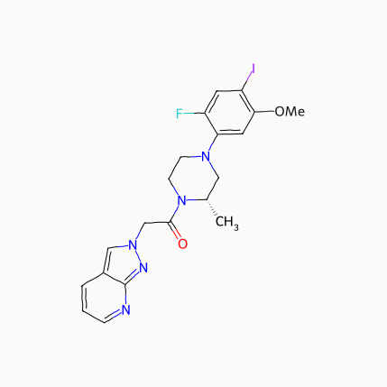 COc1cc(N2CCN(C(=O)Cn3cc4cccnc4n3)[C@@H](C)C2)c(F)cc1I